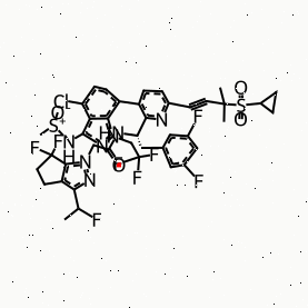 CC(F)c1nn(CC(=O)N[C@@H](Cc2cc(F)cc(F)c2)c2nc(C#CC(C)(C)S(=O)(=O)C3CC3)ccc2-c2ccc(Cl)c3c(N[S+](C)[O-])nn(CC(F)(F)F)c23)c2c1CCC2(F)F